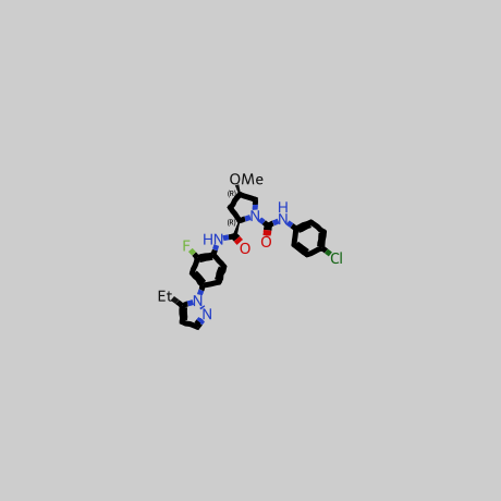 CCc1ccnn1-c1ccc(NC(=O)[C@H]2C[C@@H](OC)CN2C(=O)Nc2ccc(Cl)cc2)c(F)c1